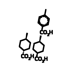 C[C@H]1CC[C@@H](C(=O)O)CC1.C[C@H]1CC[C@H](C(=O)O)CC1.Cc1ccc(C(=O)O)cc1